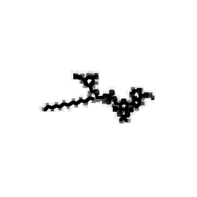 CCCCCCCCCCCCC[C@@H](COP(=O)(O)OC[C@H]1O[C@@H](c2ccc3c(N)ncnn23)[C@@H]2OC(C)(C)O[C@@H]21)OCc1cc(F)cc(C#N)c1